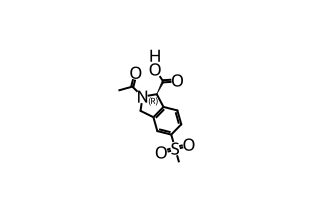 CC(=O)N1Cc2cc(S(C)(=O)=O)ccc2[C@@H]1C(=O)O